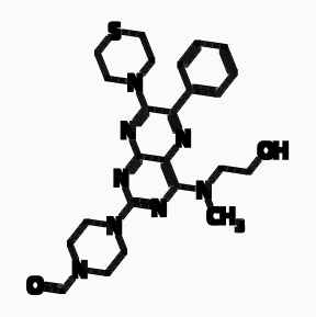 CN(CCO)c1nc(N2CCN(C=O)CC2)nc2nc(N3CCSCC3)c(-c3ccccc3)nc12